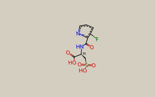 O=C(N[C@@H](CS(=O)(=O)O)C(=O)O)c1ncccc1F